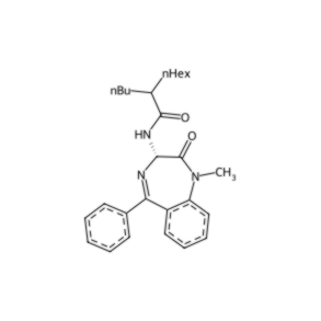 CCCCCCC(CCCC)C(=O)N[C@H]1N=C(c2ccccc2)c2ccccc2N(C)C1=O